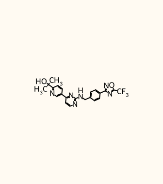 CC(C)(O)c1ccc(-c2ccnc(NCc3ccc(-c4noc(C(F)(F)F)n4)cc3)n2)cn1